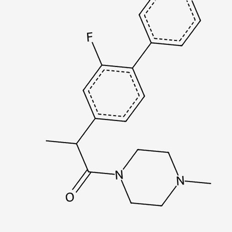 CC(C(=O)N1CCN(C)CC1)c1ccc(-c2ccccc2)c(F)c1